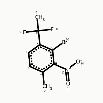 Cc1ccc(C(C)(F)F)c(Br)c1[N+](=O)[O-]